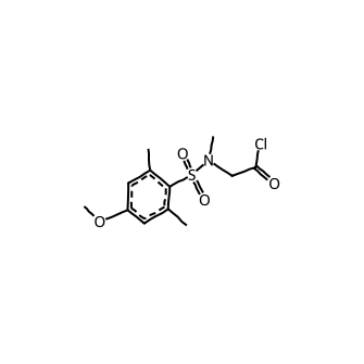 COc1cc(C)c(S(=O)(=O)N(C)CC(=O)Cl)c(C)c1